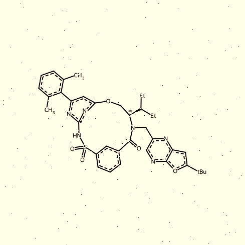 CCC(CC)[C@@H]1COc2cc(-c3c(C)cccc3C)nc(n2)NS(=O)(=O)c2cccc(c2)C(=O)N1Cc1cnc2oc(C(C)(C)C)cc2n1